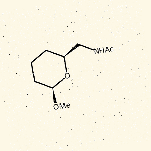 CO[C@H]1CCC[C@@H](CNC(C)=O)O1